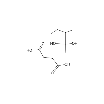 CCC(C)C(C)(O)O.O=C(O)CCC(=O)O